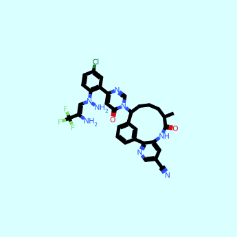 CC1CCCC(n2cnc(-c3cc(Cl)ccc3N(N)/C=C(\N)C(F)(F)F)cc2=O)c2cccc(c2)-c2ncc(C#N)cc2NC1=O